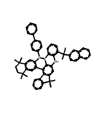 CC1(C)CCC(C)(C)c2cc3c(cc21)-c1c2c(cc4c1-c1ccccc1C4(C)C)Nc1c(cccc1C(C)(C)c1ccc4ccccc4c1)B2N3c1ccc(-c2ccccc2)cc1